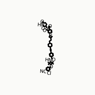 CC1(C)[C@H](NC(=O)c2ccc(C#CC3CCC(CCC4CN(c5ccc6c(c5)C(=O)N(C5CCC(=O)NC5=O)C6=O)C4)CC3)cc2)C(C)(C)[C@H]1Oc1ccc(C#N)c(Cl)c1